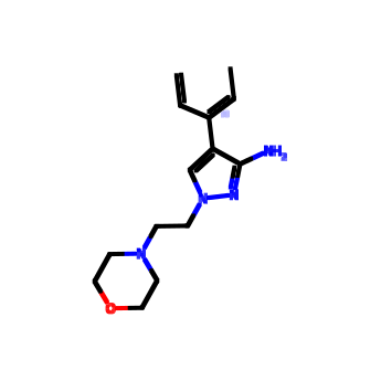 C=C/C(=C\C)c1cn(CCN2CCOCC2)nc1N